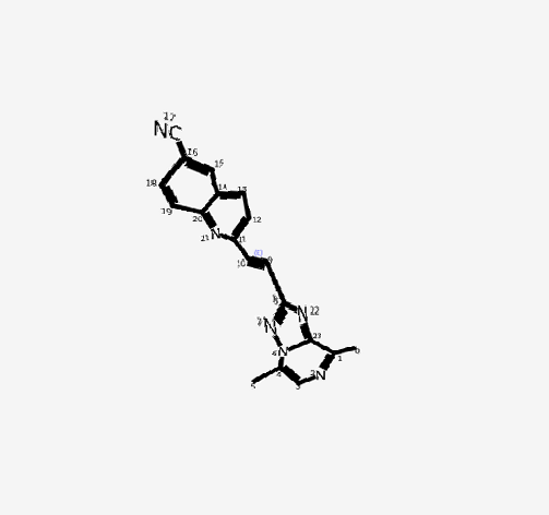 Cc1ncc(C)n2nc(/C=C/c3ccc4cc(C#N)ccc4n3)nc12